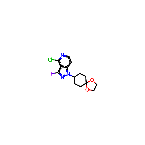 Clc1nccc2c1c(I)nn2C1CCC2(CC1)OCCO2